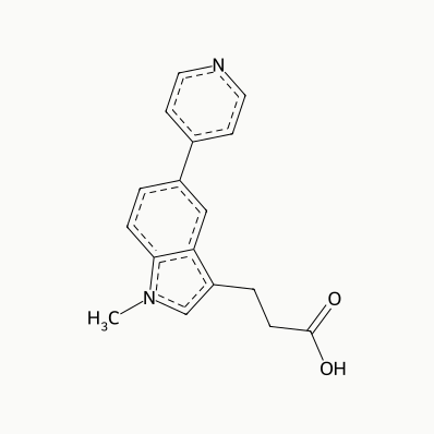 Cn1cc(CCC(=O)O)c2cc(-c3ccncc3)ccc21